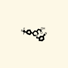 N#Cc1cccc(CN2CC(CC(=O)O)CC(c3ccc(C(F)(F)F)cc3)C2)c1